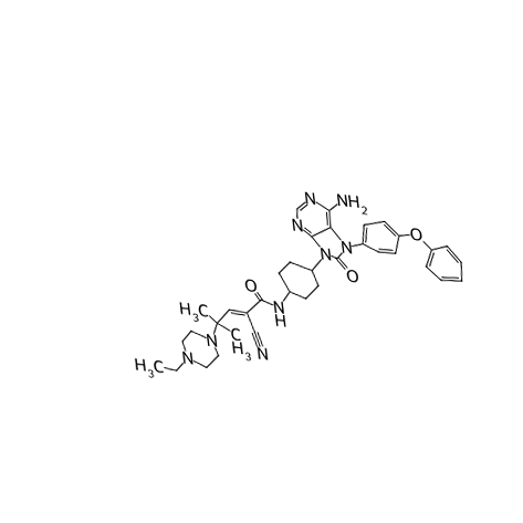 CCN1CCN(C(C)(C)C=C(C#N)C(=O)NC2CCC(n3c(=O)n(-c4ccc(Oc5ccccc5)cc4)c4c(N)ncnc43)CC2)CC1